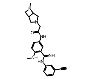 C#Cc1cccc(NC(=N)c2cc(NC(=O)CN3CC4CN(C)C4C3)ccc2NC)c1